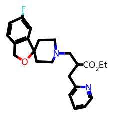 CCOC(=O)C(Cc1ccccn1)CN1CCC2(CC1)OCc1ccc(F)cc12